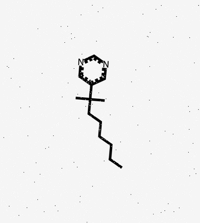 CCCCCCC(C)(C)c1cncnc1